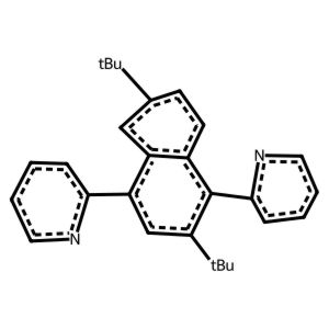 CC(C)(C)c1ccc2c(-c3ccccn3)c(C(C)(C)C)cc(-c3ccccn3)c2c1